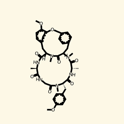 COc1ccc(C[C@H]2C(=O)N[C@@H](C)C(=O)N(C)[C@H]3Cc4ccc(cc4)Oc4cc(ccc4OC)C[C@@H](C(=O)N[C@H](C)C(=O)NCC(=O)N2C)N(C)C3=O)cc1